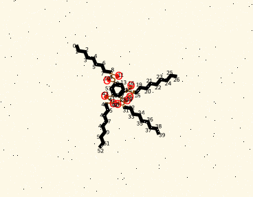 CCCCCCCCCS(=O)(=O)c1cc(S(=O)(=O)CCCCCCCCC)c(S(=O)(=O)CCCCCCCCC)c(S(=O)(=O)CCCCCCCCC)c1